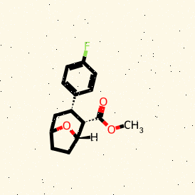 COC(=O)[C@@H]1[C@@H]2CCC(C[C@@H]1c1ccc(F)cc1)O2